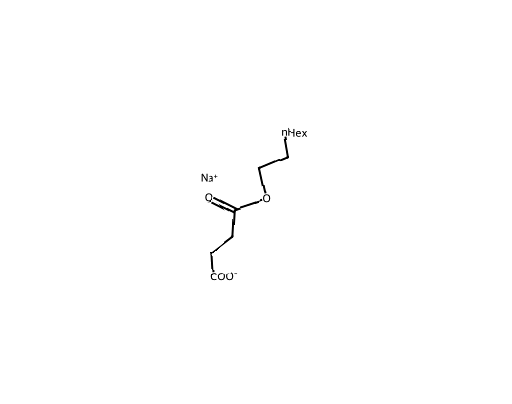 CCCCCCCCOC(=O)CCC(=O)[O-].[Na+]